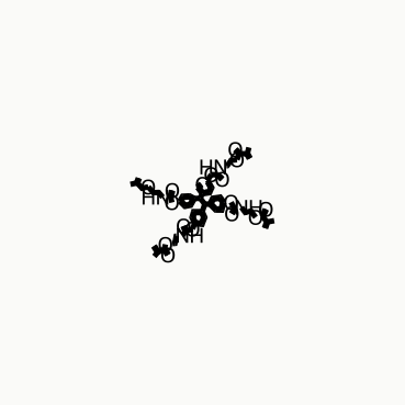 C=C(C)COCCNC(=O)Oc1ccc(C(c2ccc(OC(=O)NCCOC(=O)C(=C)C)cc2)C(c2ccc(OC(=O)NCCOC(=O)C(=C)C)cc2)c2ccc(OC(=O)NCCOC(=O)C(=C)C)cc2)cc1